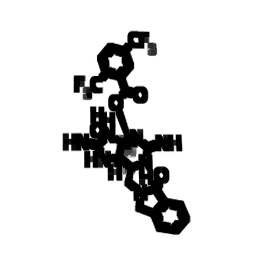 N=C1N[C@H]2[C@H](CN3Cc4ccccc4C3=O)NC(=N)N3C[C@H](OC(=O)c4cc(C(F)(F)F)ccc4C(F)(F)F)[C@H](O)[C@]23N1